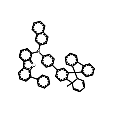 CC12C=CC=CC1C1(c3ccccc3-c3ccccc31)c1cc(-c3ccc(N(c4ccc5ccccc5c4)c4cccc5c4oc4c(-c6ccccc6)cccc45)cc3)ccc12